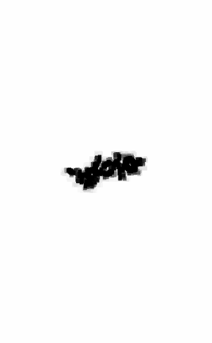 CCOC(=O)c1cc(C#N)c(N2CCN(C(=O)Nc3ccc(Br)cc3)CC2)nc1C(F)(F)F